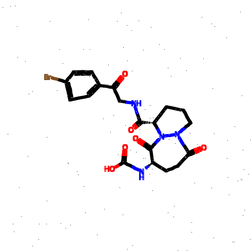 O=C(O)N[C@H]1CCC(=O)N2CCC[C@@H](C(=O)NCC(=O)c3ccc(Br)cc3)N2C1=O